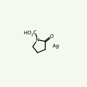 O=C(O)N1CCCC1=O.[Ag]